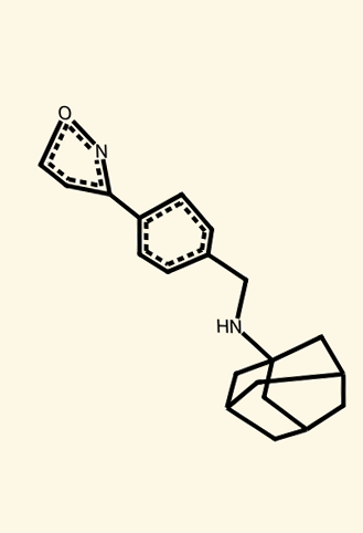 c1cc(-c2ccc(CNC34CC5CC(CC(C5)C3)C4)cc2)no1